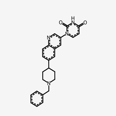 O=c1ccn(-c2cnc3ccc(C4CCN(Cc5ccccc5)CC4)cc3c2)c(=O)[nH]1